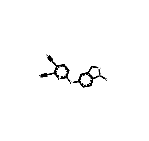 N#Cc1ccc(Oc2ccc3c(c2)COB3O)nc1C#N